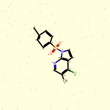 Cc1ccc(S(=O)(=O)n2ccc3c(Cl)c(C#N)cnc32)cc1